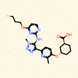 Cc1nc(-c2nnn(C)c2Nc2nccc(OCCCF)n2)ccc1O[C@H]1CCC[C@H](C(=O)O)C1